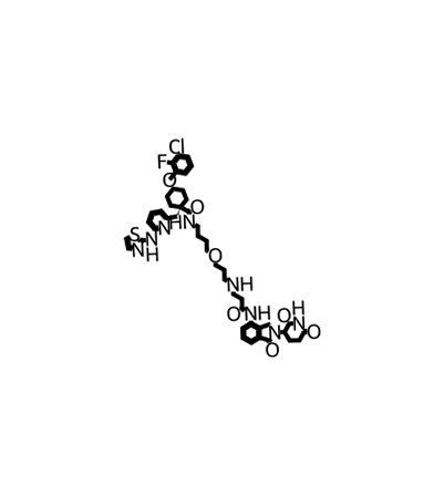 O=C1CCC(N2Cc3c(NC(=O)CCNCCCOCCCCNC(=O)[C@]4(Cc5cccc(Nc6nccs6)n5)CC[C@@H](Oc5cccc(Cl)c5F)CC4)cccc3C2=O)C(=O)N1